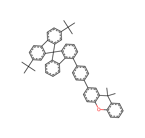 CC(C)(C)c1ccc2c(c1)C1(c3cc(C(C)(C)C)ccc3-2)c2ccccc2-c2c(-c3ccc(-c4ccc5c(c4)C(C)(C)c4ccccc4O5)cc3)cccc21